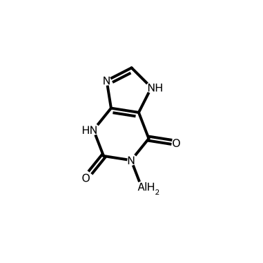 O=c1[nH]c2nc[nH]c2c(=O)[n]1[AlH2]